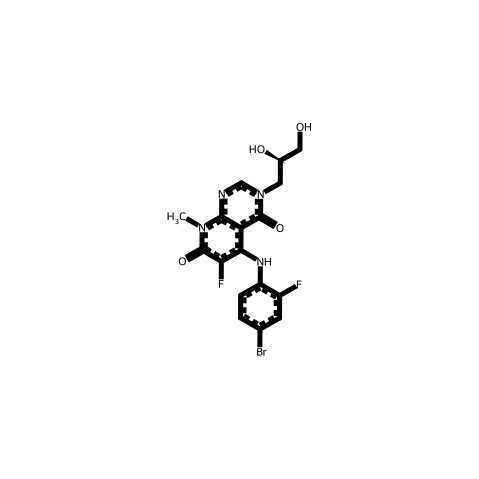 Cn1c(=O)c(F)c(Nc2ccc(Br)cc2F)c2c(=O)n(C[C@@H](O)CO)cnc21